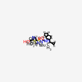 CC(c1ccc2c(c1NC(=O)N=S(=O)(c1cnc(C(C)(C)O)s1)N(C(=O)O)C(C)(C)C)CCC2)C1CC1